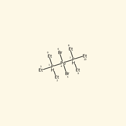 CC[PH](CC)(CC)[Pd]([Br])([Br])[PH](CC)(CC)CC